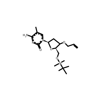 C=CCOC1C[C@H](n2cc(C)c(N)nc2=O)O[C@@H]1CO[Si](C)(C)C(C)(C)C